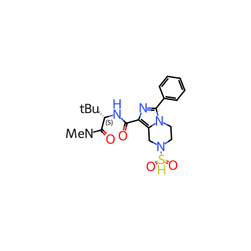 CNC(=O)[C@@H](NC(=O)c1nc(-c2ccccc2)n2c1CN([SH](=O)=O)CC2)C(C)(C)C